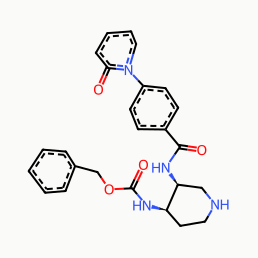 O=C(N[C@@H]1CCNC[C@@H]1NC(=O)c1ccc(-n2ccccc2=O)cc1)OCc1ccccc1